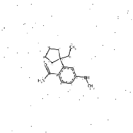 CBc1ccc(C(N)=O)c(C2(CC)CCCC2)c1